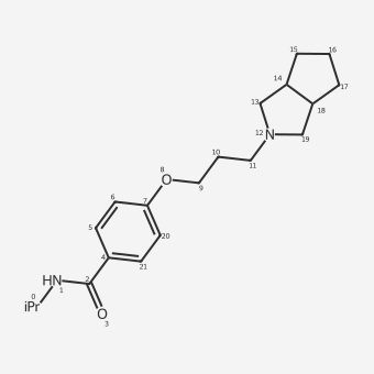 CC(C)NC(=O)c1ccc(OCCCN2CC3CCCC3C2)cc1